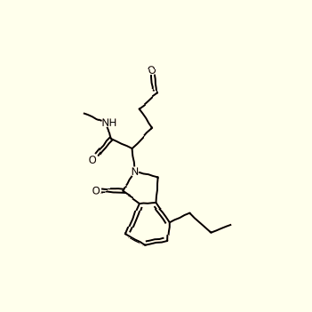 CCCc1cccc2c1CN(C(CCC=O)C(=O)NC)C2=O